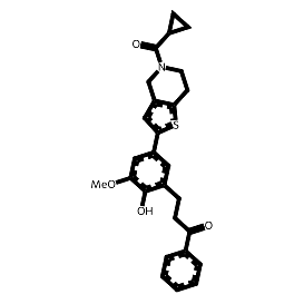 COc1cc(-c2cc3c(s2)CCN(C(=O)C2CC2)C3)cc(CCC(=O)c2ccccc2)c1O